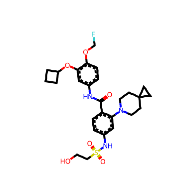 O=C(Nc1ccc(OCF)c(OC2CCC2)c1)c1ccc(NS(=O)(=O)CCO)cc1N1CCC2(CC1)CC2